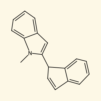 Cn1c(C2C=Cc3ccccc32)cc2ccccc21